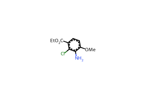 CCOC(=O)c1ccc(OC)c(N)c1Cl